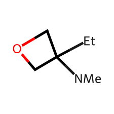 CCC1(NC)COC1